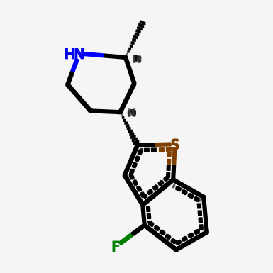 C[C@@H]1C[C@H](c2cc3c(F)cccc3s2)CCN1